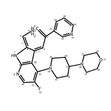 C=C(/C=c1\c(=C/N)[nH]c2ncc(F)c(N3CCC(N4CCOCC4)CC3)c12)c1cccnc1